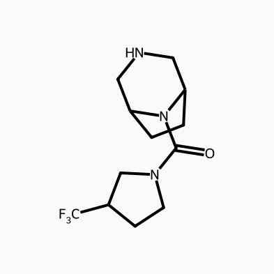 O=C(N1CCC(C(F)(F)F)C1)N1C2CCC1CNC2